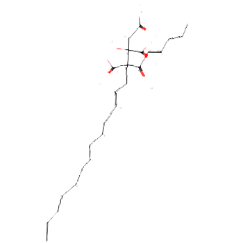 CCCCCCCCCCCCCC(C(=O)O)(C(=O)CCCCC)C(O)(CC(=O)O)C(=O)O